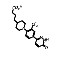 O=C(O)CCCC1CCN(c2ccc(-c3ccc(=O)[nH]n3)cc2C(F)(F)F)CC1